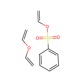 C=COC=C.C=COS(=O)(=O)c1ccccc1